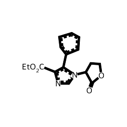 CCOC(=O)c1ncn(C2CCOC2=O)c1-c1ccccc1